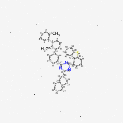 Cc1ccccc1-c1cccc(-c2cccc(-c3nc(-c4ccc5ccccc5c4)nc(-c4cccc5sc6ccccc6c45)n3)c2)c1C